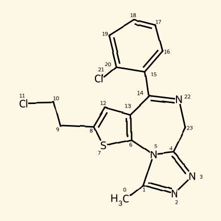 Cc1nnc2n1-c1sc(CCCl)cc1C(c1ccccc1Cl)=NC2